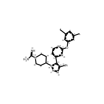 Cc1cc(C)cc(Oc2nccc(-c3c(C(C)C)nnn3C3CCN(C(=N)N)CC3)n2)c1